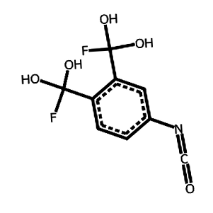 O=C=Nc1ccc(C(O)(O)F)c(C(O)(O)F)c1